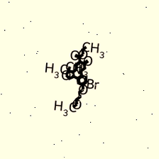 CCOC(=O)C1=CN2C(CC1=O)c1cc(Br)c(OCCCOC)cc1C1COC(C)(C)C12